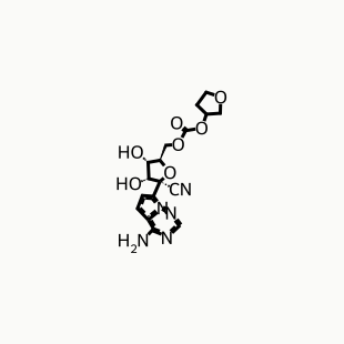 N#C[C@@]1(c2ccc3c(N)ncnn23)O[C@H](COC(=O)OC2CCOC2)[C@@H](O)[C@H]1O